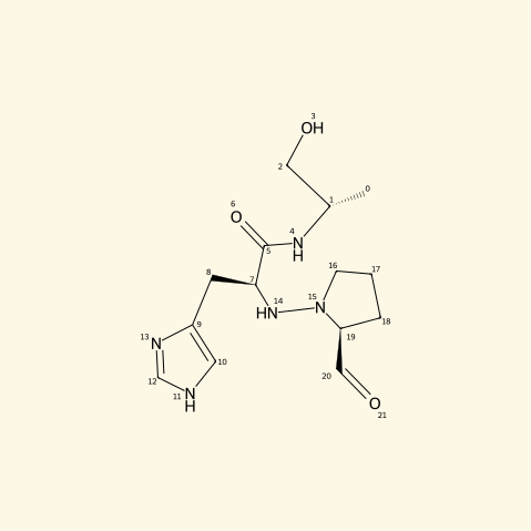 C[C@@H](CO)NC(=O)[C@H](Cc1c[nH]cn1)NN1CCC[C@H]1C=O